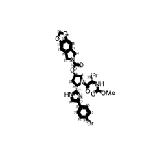 COC(=O)N[C@H](C(=O)N1C[C@H](OC(=O)N2Cc3cc4c(cc3C2)OCO4)C[C@H]1c1nc(-c2ccc(Br)cc2)c[nH]1)C(C)C